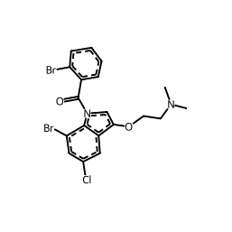 CN(C)CCOc1cn(C(=O)c2ccccc2Br)c2c(Br)cc(Cl)cc12